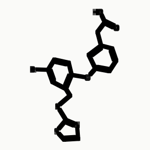 O=C(O)Cc1cccc(Oc2ccc(Br)cc2CSc2nccs2)c1